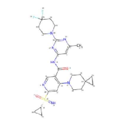 Cc1cc(NC(=O)c2cnc([S@@](=N)(=O)C3CC3)cc2N2CCC3(CC2)CC3)nc(N2CCC(F)(F)CC2)n1